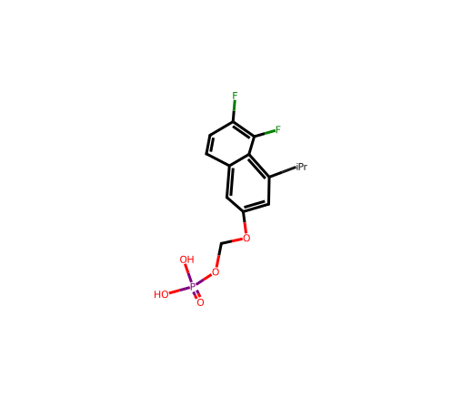 CC(C)c1cc(OCOP(=O)(O)O)cc2ccc(F)c(F)c12